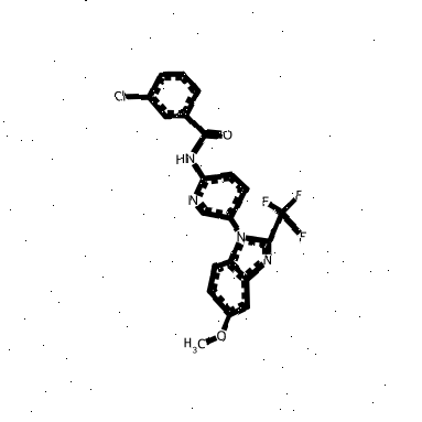 COc1ccc2c(c1)nc(C(F)(F)F)n2-c1ccc(NC(=O)c2cccc(Cl)c2)nc1